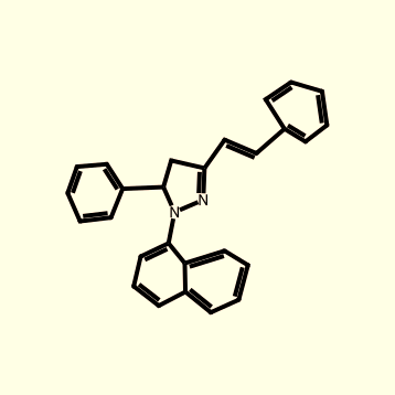 C(=Cc1ccccc1)C1=NN(c2cccc3ccccc23)C(c2ccccc2)C1